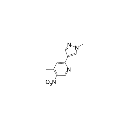 Cc1cc(-c2cnn(C)c2)ncc1[N+](=O)[O-]